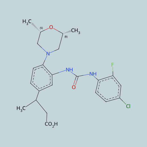 CC(CC(=O)O)c1ccc(N2C[C@@H](C)O[C@@H](C)C2)c(NC(=O)Nc2ccc(Cl)cc2F)c1